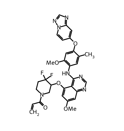 C=CC(=O)N1CCC(F)(F)C(Oc2cc(OC)cc3ncnc(Nc4cc(C)c(Oc5ccn6ncnc6c5)cc4OC)c23)C1